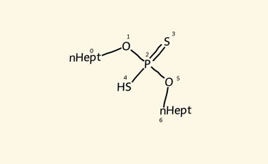 CCCCCCCOP(=S)(S)OCCCCCCC